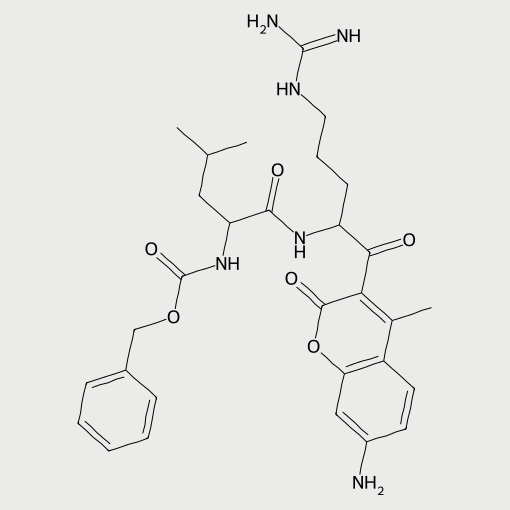 Cc1c(C(=O)C(CCCNC(=N)N)NC(=O)C(CC(C)C)NC(=O)OCc2ccccc2)c(=O)oc2cc(N)ccc12